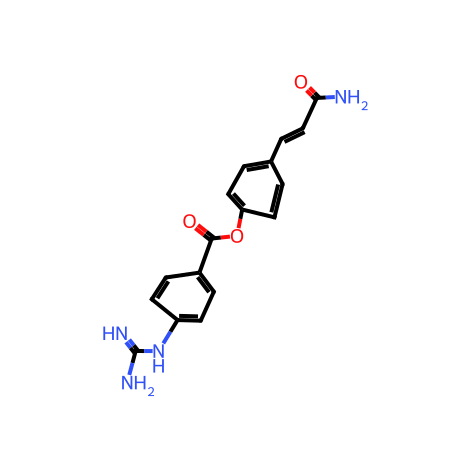 N=C(N)Nc1ccc(C(=O)Oc2ccc(C=CC(N)=O)cc2)cc1